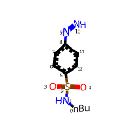 CCCCNS(=O)(=O)c1ccc(N=N)cc1